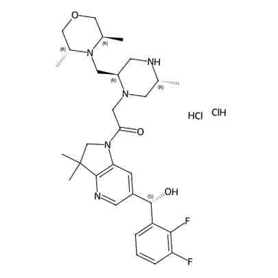 C[C@@H]1CN(CC(=O)N2CC(C)(C)c3ncc([C@H](O)c4cccc(F)c4F)cc32)[C@@H](CN2[C@H](C)COC[C@H]2C)CN1.Cl.Cl